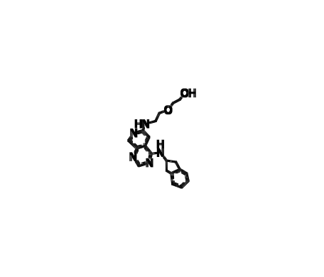 OCCOCCNc1cc2c(NC3Cc4ccccc4C3)ncnc2cn1